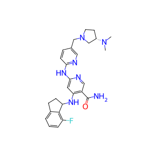 CN(C)[C@H]1CCN(Cc2ccc(Nc3cc(NC4CCc5cccc(F)c54)c(C(N)=O)cn3)nc2)C1